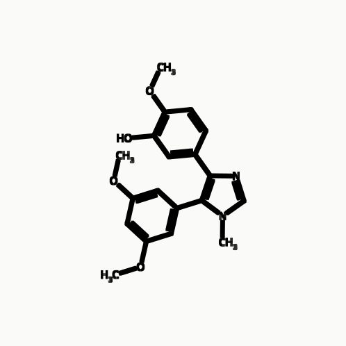 COc1cc(OC)cc(-c2c(-c3ccc(OC)c(O)c3)ncn2C)c1